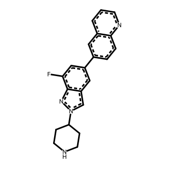 Fc1cc(-c2ccc3ncccc3c2)cc2cn(C3CCNCC3)nc12